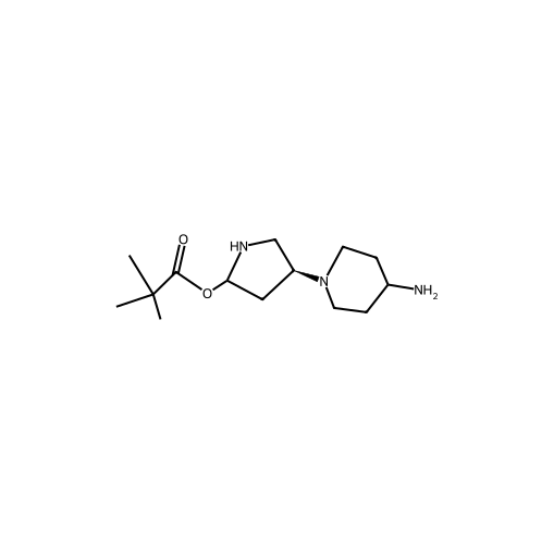 CC(C)(C)C(=O)OC1C[C@H](N2CCC(N)CC2)CN1